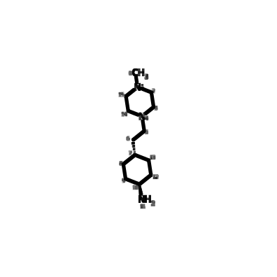 CN1CCN(CC[C@H]2CC[C@H](N)CC2)CC1